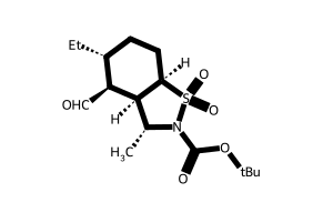 CC[C@@H]1CC[C@@H]2[C@H]([C@H]1C=O)[C@@H](C)N(C(=O)OC(C)(C)C)S2(=O)=O